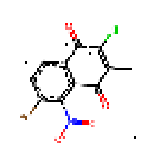 CC1=C(Cl)C(=O)c2ccc(Br)c([N+](=O)[O-])c2C1=O